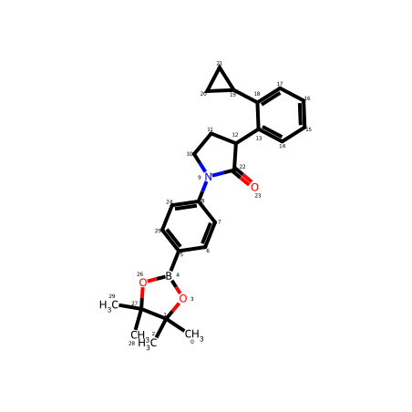 CC1(C)OB(c2ccc(N3CCC(c4ccccc4C4CC4)C3=O)cc2)OC1(C)C